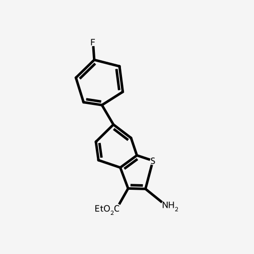 CCOC(=O)c1c(N)sc2cc(-c3ccc(F)cc3)ccc12